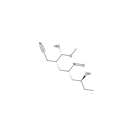 CC[C@H](O)C[C@H](C[C@H](CC#N)[C@H](O)OC)N=O